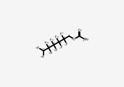 CCC(C)C(=O)OCC(F)(F)C(F)(F)C(F)(F)C(F)(F)C(F)F